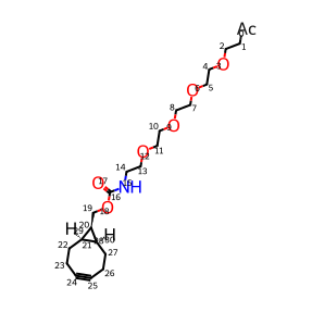 CC(=O)CCOCCOCCOCCOCCNC(=O)OC[C@@H]1[C@@H]2CCC#CCC[C@@H]21